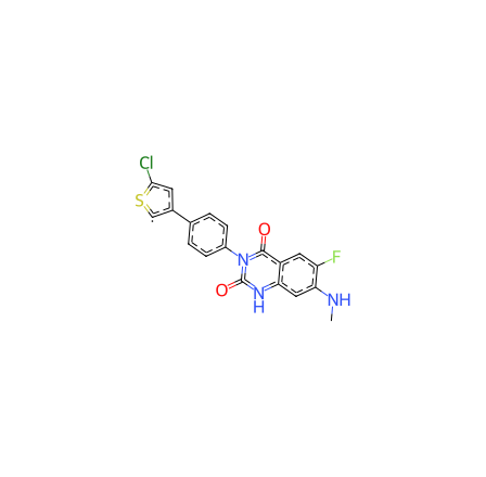 CNc1cc2[nH]c(=O)n(-c3ccc(-c4[c]sc(Cl)c4)cc3)c(=O)c2cc1F